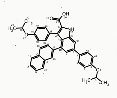 CC(C)Oc1ccc(-c2cc(-c3ccc4ccccc4c3)c3c(-c4ccc(OC(C)C)cc4)c(C(=O)O)[nH]c3c2)cc1